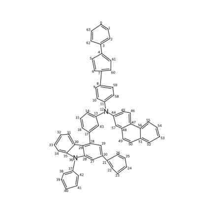 c1ccc(-c2ccc(-c3ccc(N(c4cccc(-c5cc(-c6ccccc6)cc6c5c5ccccc5n6-c5ccccc5)c4)c4ccc5c(ccc6ccccc65)c4)cc3)cc2)cc1